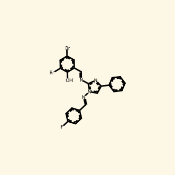 Oc1c(Br)cc(Br)cc1C=Nc1nc(-c2ccccc2)cn1/N=C/c1ccc(F)cc1